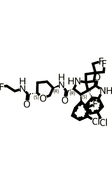 O=C(NCCF)[C@@H]1CC[C@@H](NC(=O)[C@@H]2NC3(CC(CF)(CF)C3)[C@@]3(C(=O)Nc4cc(Cl)ccc43)[C@H]2c2cccc(Cl)c2F)CO1